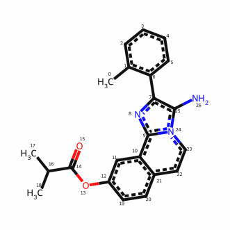 Cc1ccccc1-c1nc2c3cc(OC(=O)C(C)C)ccc3ccn2c1N